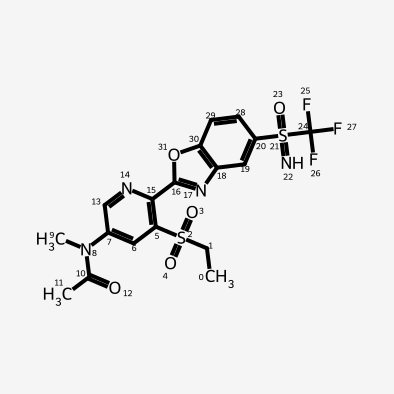 CCS(=O)(=O)c1cc(N(C)C(C)=O)cnc1-c1nc2cc(S(=N)(=O)C(F)(F)F)ccc2o1